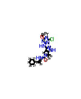 CCCOc1nc(Cl)nc(Nc2n[nH]c3c2CN(C(=O)N[C@@H]2C[C@H]2c2ccccc2)C3(C)C)n1